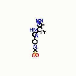 Cc1c(-c2[nH]c3ccc(C4CCC(N5CC6(C5)CS(=O)(=O)C6)CC4)nc3c2C(C)C)cn2ncnc2c1C